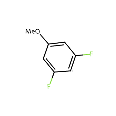 COc1cc(F)[c]c(F)c1